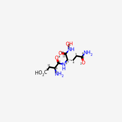 NC(=O)CC[C@H](NC(=O)C(N)CC(=O)O)C(=O)NO